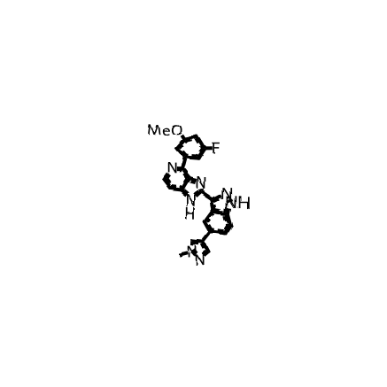 COc1cc(F)cc(-c2nccc3[nH]c(-c4n[nH]c5ccc(-c6cnn(C)c6)cc45)nc23)c1